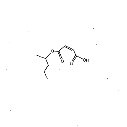 CCCC(C)OC(=O)/C=C\C(=O)O